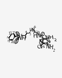 CN(CCCCCNS(=O)(=O)c1ccccc1)CCNC(=O)c1nc(Cl)c(N)nc1N